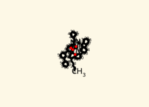 CCCCCC1=CCC(c2ccccc2-n2c3ccccc3c3ccc4c5ccccc5n(-c5nc(-c6ccccc6)nc(-c6ccc(-c7cccc(-c8ccccc8)c7)cc6)n5)c4c32)C=C1